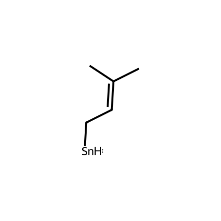 CC(C)=C[CH2][SnH]